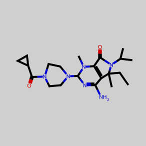 CCC1(C)C2=C(C(=O)N1C(C)C)N(C)C(N1CCN(C(=O)C3CC3)CC1)N=C2N